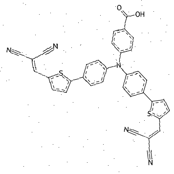 N#CC(C#N)=Cc1ccc(-c2ccc(N(c3ccc(C(=O)O)cc3)c3ccc(-c4ccc(C=C(C#N)C#N)s4)cc3)cc2)s1